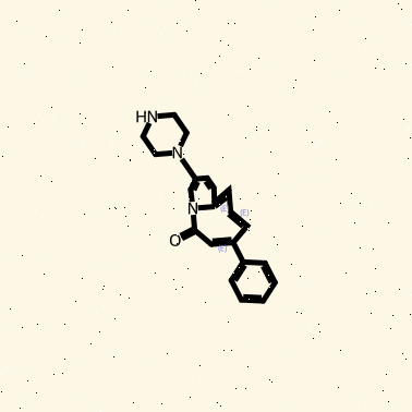 O=C1\C=C(c2ccccc2)/C=C/C=C2\C=CC(N3CCNCC3)=CN12